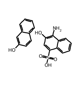 Nc1c(O)cc(S(=O)(=O)O)c2ccccc12.Oc1ccc2ccccc2c1